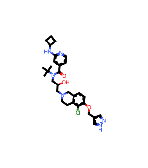 CC(C)(C)N(CC(O)CN1CCc2c(ccc(OCc3cn[nH]c3)c2Cl)C1)C(=O)c1ccnc(NC2CCC2)c1